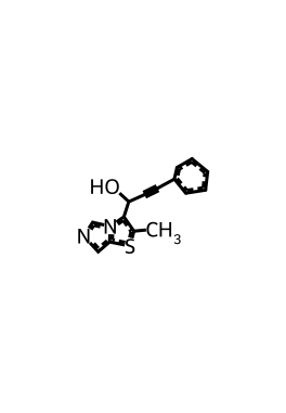 Cc1sc2cncn2c1C(O)C#Cc1ccccc1